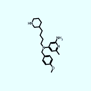 COc1ccc(CN(CCCCC2CCCNC2)c2cc(C)nc(N)c2)cc1